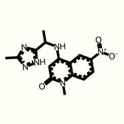 Cc1n[nH]c(C(C)Nc2cc(=O)n(C)c3ccc([N+](=O)[O-])cc23)n1